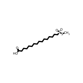 CSS(=O)(=O)CCCCCCCCCCCCCCCC(=O)O